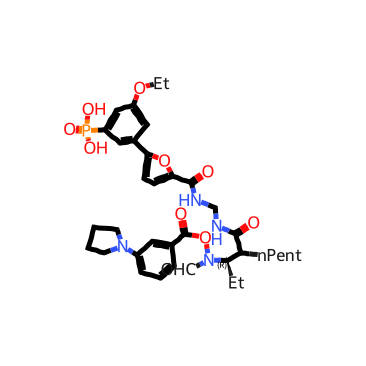 CCCCCC(C(=O)NCNC(=O)c1ccc(-c2cc(OCC)cc(P(=O)(O)O)c2)o1)[C@@H](CC)N(C=O)OC(=O)c1cccc(N2CCCC2)c1